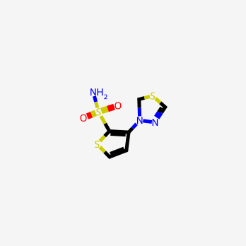 NS(=O)(=O)c1sccc1N1CSC=N1